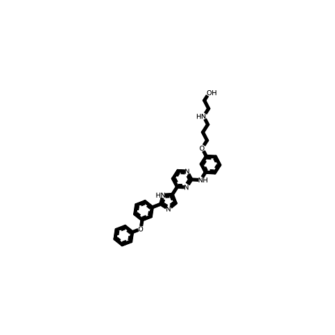 OCCNCCCOc1cccc(Nc2nccc(-c3cnc(-c4cccc(Oc5ccccc5)c4)[nH]3)n2)c1